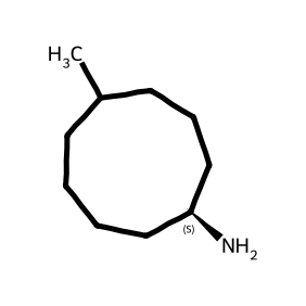 CC1CCCC[C@H](N)CCC1